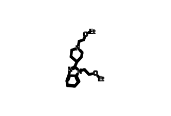 CCOCCN1CCC(c2nc3ccccc3n2CCOCC)CC1